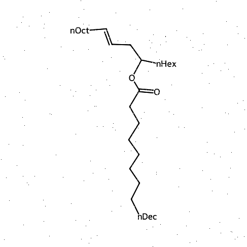 CCCCCCCCC=CCC(CCCCCC)OC(=O)CCCCCCCCCCCCCCCCC